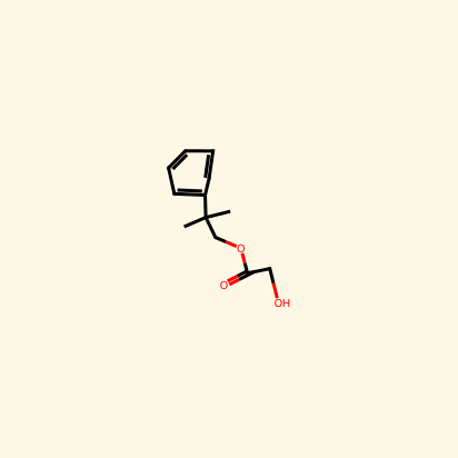 CC(C)(COC(=O)CO)c1ccccc1